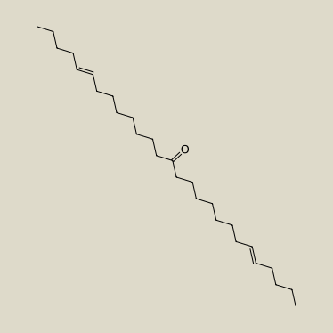 CCCCC=CCCCCCCCC(=O)CCCCCCCC=CCCCC